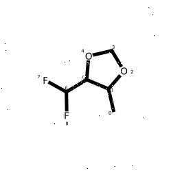 CC1OCOC1C(F)F